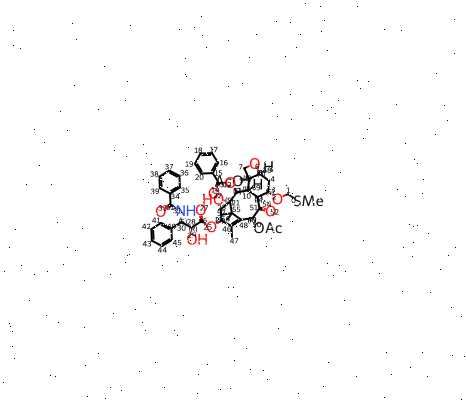 CSCO[C@H]1C[C@H]2OC[C@@]2(OC(C)=O)[C@H]2[C@H](OC(=O)c3ccccc3)[C@]3(O)C[C@H](OC(=O)[C@H](O)[C@@H](NC(=O)c4ccccc4)c4ccccc4)C(C)=C([C@@H](OC(C)=O)C(=O)[C@]12C)C3(C)C